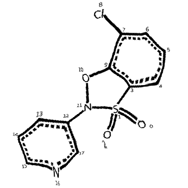 O=S1(=O)c2cccc(Cl)c2ON1c1cccnc1